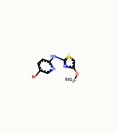 CCOC(=O)Oc1csc(Nc2ccc(Br)cn2)n1